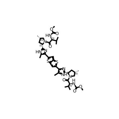 COC(=O)N[C@H](C(=O)N1C[C@@H](C)C[C@H]1c1nc(-c2cc3sc(-c4nc([C@@H]5C[C@H](C)CN5C(=O)[C@@H](NC(=O)OC)C(C)C)[nH]c4C)cc3s2)c(C)[nH]1)C(C)C